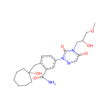 COCC(O)Cn1c(=O)cnn(-c2ccc(CC3(O)CCCCCC3)c(C(N)=O)c2)c1=O